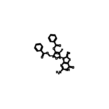 Nc1nc2c(sc(=[Se])n2[C@@H]2O[C@H](COC(=O)c3ccccc3)[C@@H](OC(=O)c3ccccc3)[C@H]2F)c(=O)[nH]1